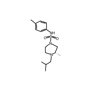 C[C](C)CN1CCN(S(=O)(=O)Nc2ccc(C)cc2)C[C@@H]1C